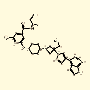 C[C@H](CO)NC(=O)c1cc(O[C@H]2CC[C@@H](N3CC(CC#N)(n4cc(-c5ncnc6[nH]ccc56)cn4)C3)CC2)nc(C(F)(F)F)c1